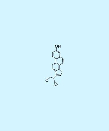 O=CC(C1=CCc2c1ccc1c2ccc2cc(O)ccc21)C1CC1